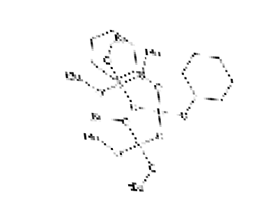 CC(C)(C)O[Si](OC(C)(C)C)(OC(C)(C)C)[O][Ti]([O]C1CCCCC1)([O]C1CCCCC1)[O][Si](OC(C)(C)C)(OC(C)(C)C)OC(C)(C)C